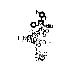 CC(C)(C)[C@H](c1cc(-c2cc(F)ccc2F)cn1Cc1ccccc1)N(CCCNC(=O)[C@H](CC(=N)N)NC(=O)[C@H](CC(=O)O)NC(=O)CCCC(=O)ON1C(=O)CCC1=O)C(=O)CO